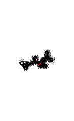 C1=CC(n2c3ccccc3c3cc(-c4ccc5c(c4)c4c(n5-c5cccc(-c6ccc(-c7nc(-c8ccccc8)nc(-c8ccccc8)n7)cc6-n6c7ccccc7c7ccccc76)c5)C=CCC4)ccc32)=CCCC1